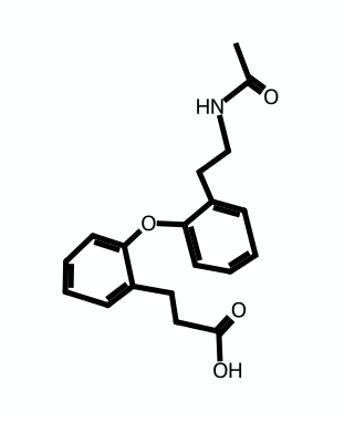 CC(=O)NCCc1ccccc1Oc1ccccc1CCC(=O)O